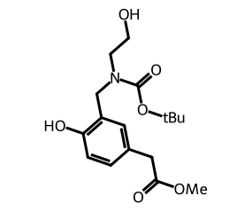 COC(=O)Cc1ccc(O)c(CN(CCO)C(=O)OC(C)(C)C)c1